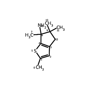 Cc1cc2c(s1)C(C)(N)C(C)(C)C2